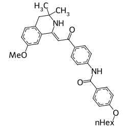 CCCCCCOc1ccc(C(=O)Nc2ccc(C(=O)/C=C3\NC(C)(C)Cc4ccc(OC)cc43)cc2)cc1